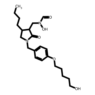 CCCCC1CN(Cc2ccc(OCCCCCO)cc2)C(=O)C1CN(O)C=O